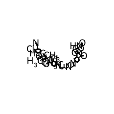 CC1(C)C(NC(=O)c2ccc(N3CCC(CN4CCN(c5ccc6c(c5)C(=O)N(C5CCC(=O)NC5=O)C6=O)CC4)CC3)cc2Cl)C(C)(C)C1Oc1ccc(C#N)c(Cl)c1